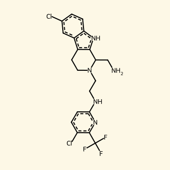 NCC1c2[nH]c3ccc(Cl)cc3c2CCN1CCNc1ccc(Cl)c(C(F)(F)F)n1